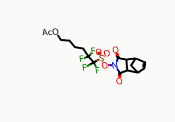 CC(=O)OCCCCC(F)(F)C(F)(F)S(=O)(=O)ON1C(=O)C2C3C=CC(C3)C2C1=O